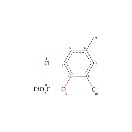 CCOC(=O)Oc1c(Cl)cc(C)cc1Cl